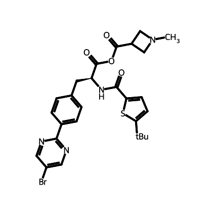 CN1CC(C(=O)OC(=O)[C@H](Cc2ccc(-c3ncc(Br)cn3)cc2)NC(=O)c2ccc(C(C)(C)C)s2)C1